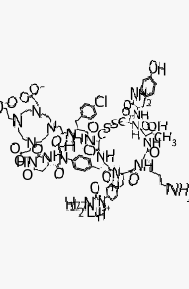 C[C@@H](O)[C@@H]1NC(=O)[C@H](CCCCN)NC(=O)[C@@H](Cc2ccc(NC(N)=O)cc2)NC(=O)[C@H](Cc2ccc(NC(=O)[C@@H]3CC(=O)NC(=O)N3)cc2)NC(=O)[C@H](NC(=O)[C@H](Cc2ccc(Cl)cc2)NC(=O)CN2CCN(CC(=O)[O-])CCN(CC(=O)[O-])CCN(CC(=O)[O-])CC2)CSSC[C@@H](C(=O)N[C@H](Cc2ccc(O)cc2)C(N)=O)NC1=O.[177Lu+3]